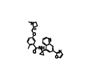 Cc1ccc(OC[C@@H]2CCN2C)cc1C(=O)NC1(c2cc(-c3ncco3)cc3ncccc23)CC1